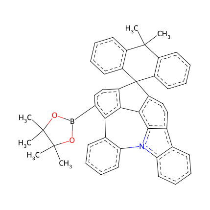 CC1(C)c2ccccc2C2(c3ccccc31)c1ccc(B3OC(C)(C)C(C)(C)O3)c3c1-c1c2ccc2c4ccccc4n(c12)-c1ccccc1-3